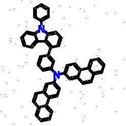 c1ccc(-n2c3ccccc3c3c(-c4cccc(N(c5ccc6c(ccc7ccccc76)c5)c5ccc6c(ccc7ccccc76)c5)c4)cccc32)cc1